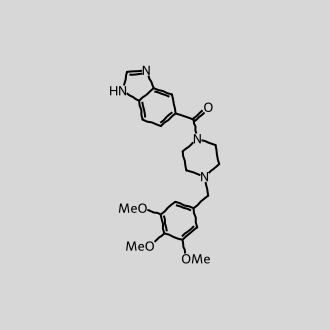 COc1cc(CN2CCN(C(=O)c3ccc4[nH]cnc4c3)CC2)cc(OC)c1OC